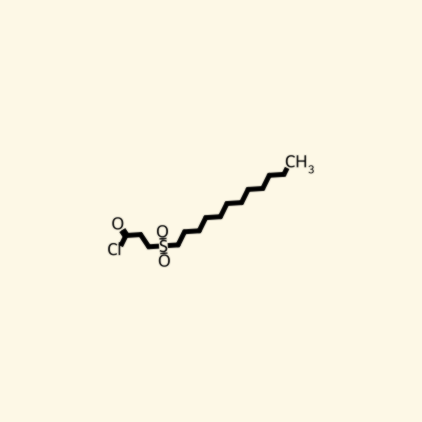 CCCCCCCCCCCCS(=O)(=O)CCC(=O)Cl